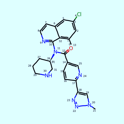 Cc1cc(Cl)cc2ccnc(N(C(=O)c3ccc(-c4cn(C)nn4)nc3)[C@@H]3CCCNC3)c12